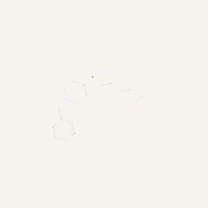 Cc1cccc(CN2CCC(C(C)(N)CCCCB(O)O)CC2)c1